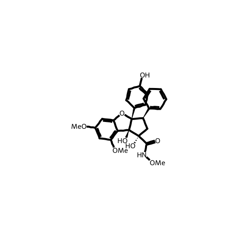 CONC(=O)[C@]1(O)C[C@H](c2ccccc2)[C@@]2(c3ccc(O)cc3)Oc3cc(OC)cc(OC)c3[C@@]12O